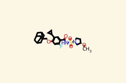 CO[C@H]1CCN(S(=O)(=O)NC(=O)c2cc(C3CC3)c(OCC34CC5CC(CC(C5)C3)C4)cc2F)C1